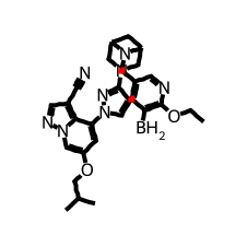 Bc1cc(CN2C3CC2CN(c2ccn(-c4cc(OCC(C)C)cn5ncc(C#N)c45)n2)C3)cnc1OCC